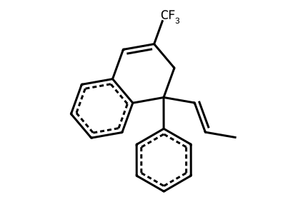 CC=CC1(c2ccccc2)CC(C(F)(F)F)=Cc2ccccc21